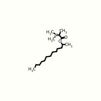 CCCCCCCCCCCC(C)OC(=O)C(C)N(C)C